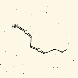 CCCC=C=CC=C=N